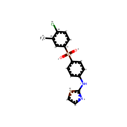 O=S(=O)(c1ccc(Nc2nccs2)cc1)c1ccc(Cl)c(C(F)(F)F)c1